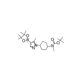 Cc1c(B2OC(C)(C)C(C)(C)O2)cnn1C1CCC(N(C)C(=O)OC(C)(C)C)CC1